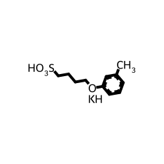 Cc1cccc(OCCCCS(=O)(=O)O)c1.[KH]